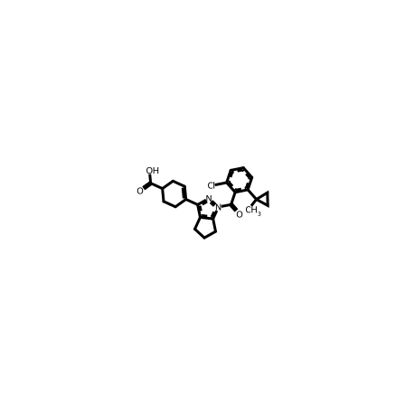 CC1(c2cccc(Cl)c2C(=O)n2nc(C3=CCC(C(=O)O)CC3)c3c2CCC3)CC1